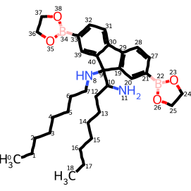 CCCCCCCCNC1(C(N)CCCCCCC)c2cc(B3OCCO3)ccc2-c2ccc(B3OCCO3)cc21